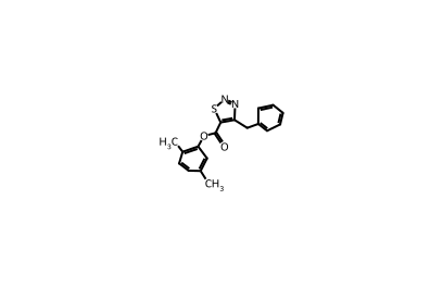 Cc1ccc(C)c(OC(=O)c2snnc2Cc2ccccc2)c1